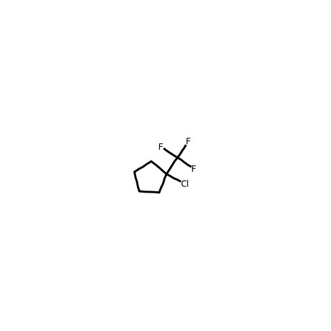 FC(F)(F)C1(Cl)CCCC1